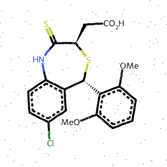 COc1cccc(OC)c1[C@H]1S[C@H](CC(=O)O)C(=S)Nc2ccc(Cl)cc21